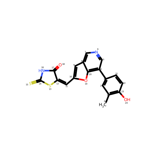 Cc1cc(-c2cncc3cc(C=C4SC(=S)NC4=O)oc23)ccc1O